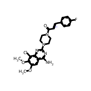 COc1cc2c(N)nc(N3CCN(C(=O)/C=C/c4ccc(F)cc4)CC3)nc2c(Cl)c1OC